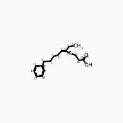 CC[C](CCCCCc1ccccc1)SCCC(=O)O